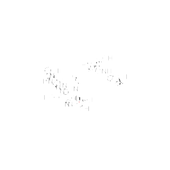 Cc1ncsc1-c1ccc(CNC(=O)[C@@H]2C[C@@H](O)CN2C(=O)[C@@H](NC(=O)CCCCC(=O)N2CCN(CCOC34CC5(C)CC(C)(CC(Cn6ncc(-c7ccc(N8CCCc9c8nnc(Nc8nc%10ccccc%10s8)c9C)nc7C(=O)O)c6C)(C5)C3)C4)CC2)C(C)(C)C)cc1